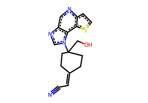 N#CC=C1CCC(CO)(n2cnc3cnc4ccsc4c32)CC1